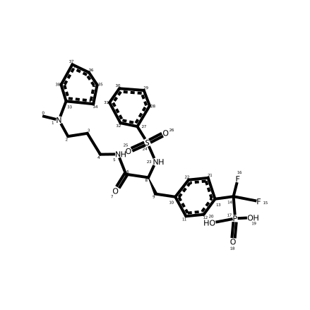 CN(CCCNC(=O)[C@H](Cc1ccc(C(F)(F)P(=O)(O)O)cc1)NS(=O)(=O)c1ccccc1)c1ccccc1